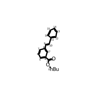 CCCCOC(=O)c1cccc(/C=C/c2ccccc2)c1